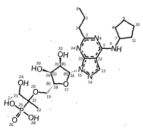 CCCc1nc(NC2CCCC2)c2cnn([C@@H]3O[C@H](COC(C)(CO)P(=O)(O)O)[C@@H](O)[C@H]3O)c2n1